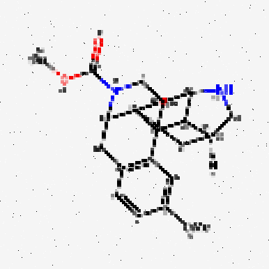 COc1ccc2c(c1)C13CCN(C(=O)OC(C)(C)C)C(C2)C12CCC1NC[C@@H](C2)C13